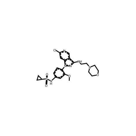 COc1cc(NS(=O)(=O)C2CC2)ccc1-n1nc(NCCN2CCOCC2)c2cnc(Cl)cc21